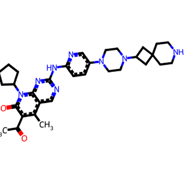 CC(=O)c1c(C)c2cnc(Nc3ccc(N4CCN(C5CC6(CCNCC6)C5)CC4)cn3)nc2n(C2CCCC2)c1=O